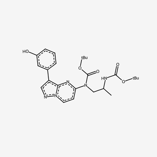 CC(CN(C(=O)OC(C)(C)C)c1ccn2ncc(-c3cccc(O)c3)c2n1)NC(=O)OC(C)(C)C